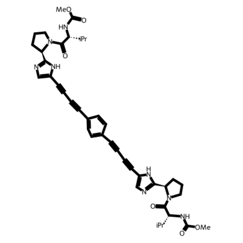 COC(=O)N[C@@H](C(=O)N1CCC[C@@H]1c1ncc(C#CC#Cc2ccc(C#CC#Cc3cnc([C@H]4CCCN4C(=O)[C@H](NC(=O)OC)C(C)C)[nH]3)cc2)[nH]1)C(C)C